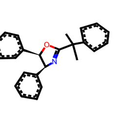 CC(C)(C1=N[C@@H](c2ccccc2)[C@@H](c2ccccc2)O1)c1ccccc1